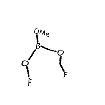 COB(OF)OF